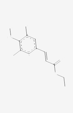 CCOC(=O)C=Cc1cc(C)c(NC)c(C)c1